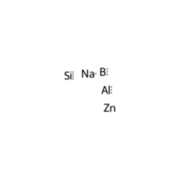 [Al].[B].[Na].[Si].[Zn]